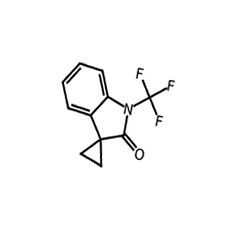 O=C1N(C(F)(F)F)c2ccccc2C12CC2